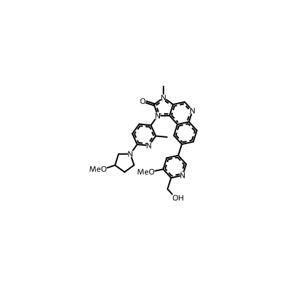 COc1cc(-c2ccc3ncc4c(c3c2)n(-c2ccc(N3CCC(OC)C3)nc2C)c(=O)n4C)cnc1CO